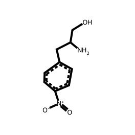 NC(CO)Cc1ccc([N+](=O)[O-])cc1